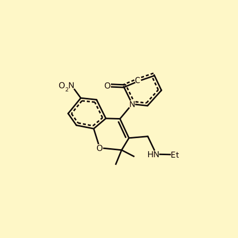 CCNCC1=C(n2ccccc2=O)c2cc([N+](=O)[O-])ccc2OC1(C)C